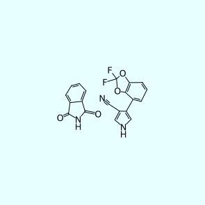 N#Cc1c[nH]cc1-c1cccc2c1OC(F)(F)O2.O=C1NC(=O)c2ccccc21